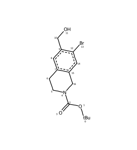 CC(C)(C)OC(=O)N1CCc2cc(CO)c(Br)cc2C1